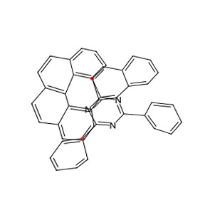 c1ccc(-c2nc(-c3ccccc3)nc(-c3cccc4ccc5ccc6cccc(-c7ccc8ccccc8c7)c6c5c34)n2)cc1